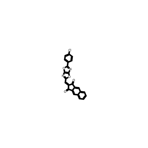 O=C1C(=Cc2nc3oc(-c4ccc(Cl)cc4)nc3o2)C(=O)c2cc3ccccc3cc21